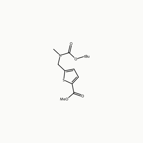 COC(=O)c1ccc(CN(C)C(=O)OC(C)(C)C)s1